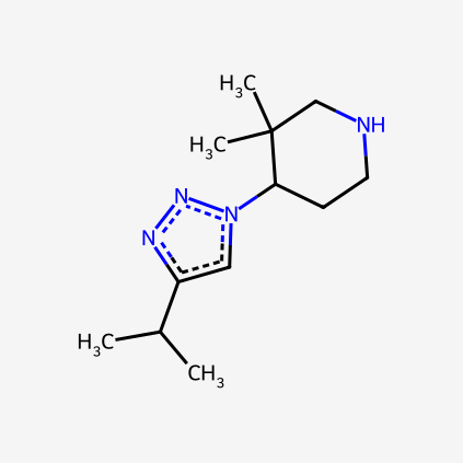 CC(C)c1cn(C2CCNCC2(C)C)nn1